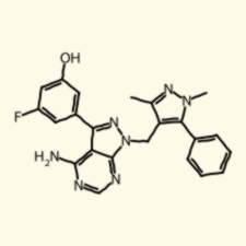 Cc1nn(C)c(-c2ccccc2)c1Cn1nc(-c2cc(O)cc(F)c2)c2c(N)ncnc21